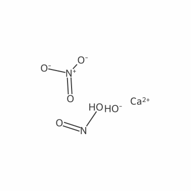 O=NO.O=[N+]([O-])[O-].[Ca+2].[OH-]